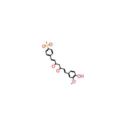 COc1cc(C=CC(=O)CC(=O)C=Cc2ccc(S(C)(=O)=O)cc2)ccc1O